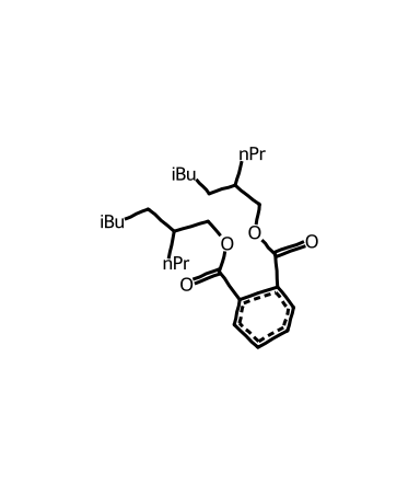 CCCC(COC(=O)c1ccccc1C(=O)OCC(CCC)CC(C)CC)CC(C)CC